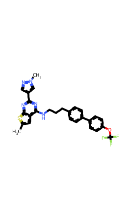 Cc1cc2c(NCCCc3ccc(-c4ccc(OC(F)(F)F)cc4)cc3)nc(-c3cnn(C)c3)nc2s1